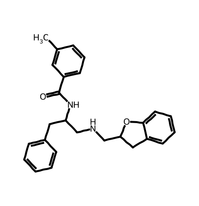 Cc1cccc(C(=O)NC(CNCC2Cc3ccccc3O2)Cc2ccccc2)c1